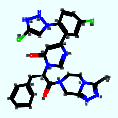 CC(C)c1nnc2n1CCN(C(=O)[C@H](Cc1ccccc1)n1cnc(-c3cc(Cl)ccc3N3C=C(Cl)NN3)cc1=O)C2